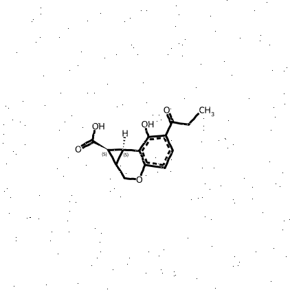 CCC(=O)c1ccc2c(c1O)[C@H]1C(CO2)[C@H]1C(=O)O